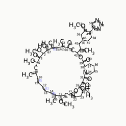 COC1C(=O)C(C)C[C@H](C)/C=C/C=C/C=C(\C)[C@@H](OC)C[C@@H]2CC[C@@H](C)[C@@](O)(O2)C(=O)C(=O)N2CCCCC2C(=O)OC([C@H](C)C[C@@H]2CC[C@H](n3cnnn3)[C@H](OC)C2)CC(=O)[C@H](C)/C=C(\C)[C@H]1O